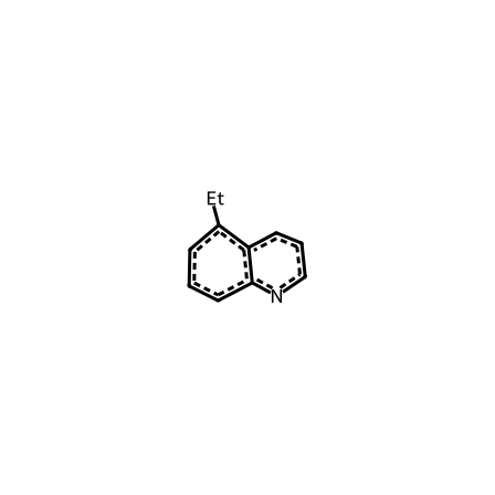 [CH2]Cc1cccc2ncccc12